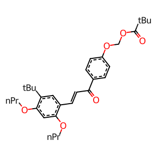 CCCOc1cc(OCCC)c(C(C)(C)C)cc1C=CC(=O)c1ccc(OCOC(=O)C(C)(C)C)cc1